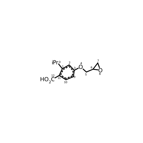 CC(C)c1cc(OCC2CO2)ccc1C(=O)O